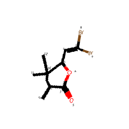 CC1C(=O)OC(C=C(Br)Br)C1(C)C